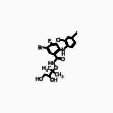 CC(C)(ONC(=O)c1cc(Br)c(F)cc1Nc1ccc(I)cc1Cl)C(O)CO